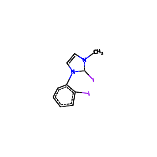 CN1C=CN(c2ccccc2I)C1I